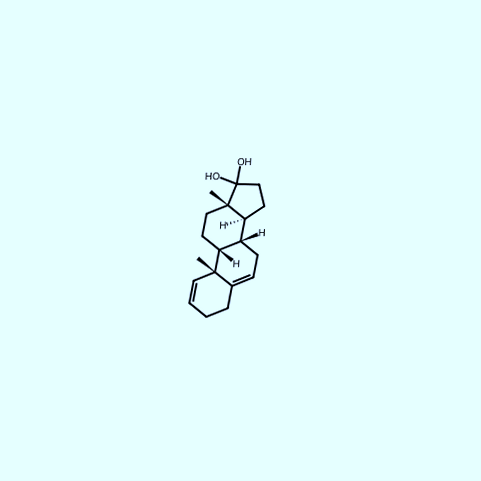 C[C@]12C=CCCC1=CC[C@@H]1[C@H]2CC[C@@]2(C)[C@H]1CCC2(O)O